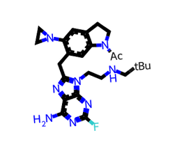 CC(=O)N1CCc2cc(N3CC3)c(Cc3nc4c(N)nc(F)nc4n3CCNCC(C)(C)C)cc21